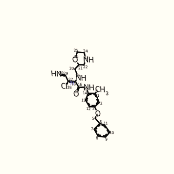 Cc1cc(OCc2ccccc2)ccc1NC(=O)/C(NCC1CNCCO1)=C(\Cl)C=N